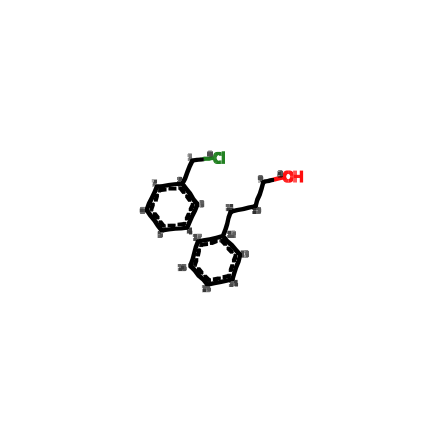 ClCc1ccccc1.OCCCc1ccccc1